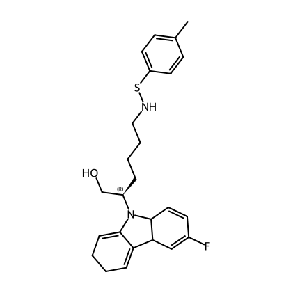 Cc1ccc(SNCCCC[C@H](CO)N2C3=CCCC=C3C3C=C(F)C=CC32)cc1